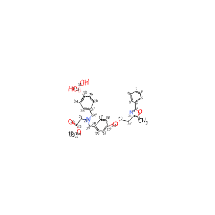 Cc1oc(-c2ccccc2)nc1CCOc1ccc(CN(CC(=O)OC(C)(C)C)Cc2ccc(B(O)O)cc2)cc1